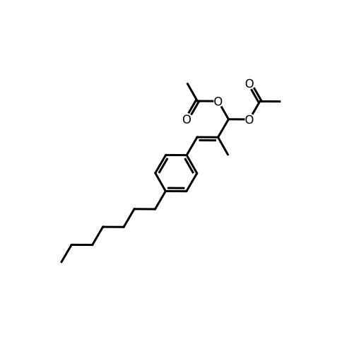 CCCCCCCc1ccc(/C=C(\C)C(OC(C)=O)OC(C)=O)cc1